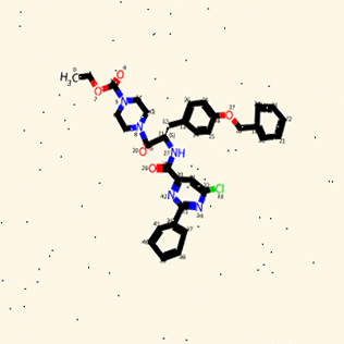 CCOC(=O)N1CCN(C(=O)[C@H](Cc2ccc(OCc3ccccc3)cc2)NC(=O)c2cc(Cl)nc(-c3ccccc3)n2)CC1